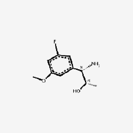 COc1cc(F)cc([C@H](N)[C@H](C)O)c1